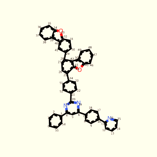 c1ccc(-c2cc(-c3ccc(-c4ccccn4)cc3)nc(-c3ccc(-c4ccc(-c5ccc6oc7ccccc7c6c5)c5c4oc4ccccc45)cc3)n2)cc1